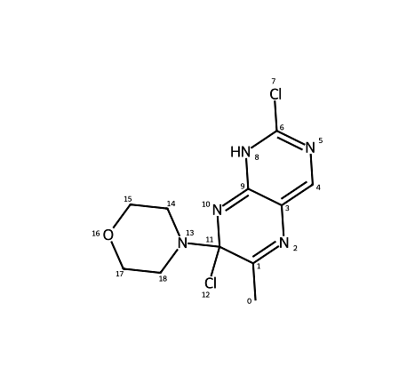 CC1=NC2=CN=C(Cl)NC2=NC1(Cl)N1CCOCC1